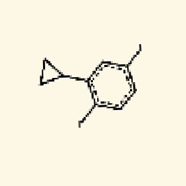 Fc1ccc(I)c(C2CC2)c1